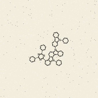 c1ccc(-c2nc(-c3ccccc3)nc(-c3cccc4c3c3ccc5c(c6ccccc6n5-c5ccc6c7ccccc7n(-c7ccccc7)c6c5)c3n4-c3ccccc3)n2)cc1